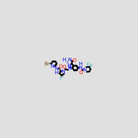 NC(=O)c1nn(CC(=O)N2C[C@H](F)C[C@H]2C(=O)Nc2cccc(Br)n2)c2ccc(NC(=O)N3CCCC(F)(F)C3)cc12